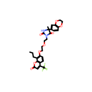 CCCc1c(OCCOCCN2C(=O)NC(C)(c3ccc4c(c3)OCCO4)C2=O)ccc2c(C(F)(F)F)cc(=O)oc12